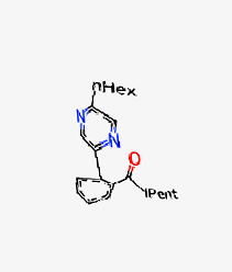 CCCCCCc1cnc(-c2ccccc2C(=O)C(C)CCC)cn1